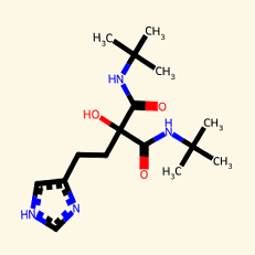 CC(C)(C)NC(=O)C(O)(CCc1c[nH]cn1)C(=O)NC(C)(C)C